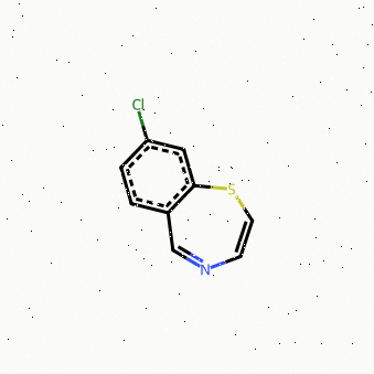 Clc1ccc2c(c1)SC=CN=C2